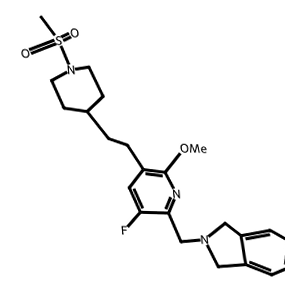 COc1nc(CN2Cc3ccccc3C2)c(F)cc1CCC1CCN(S(C)(=O)=O)CC1